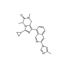 Cc1cn(-c2cc3cccc(-c4nc(C5CC5)n5c4CN(C)C(=O)C5C)c3cn2)cn1